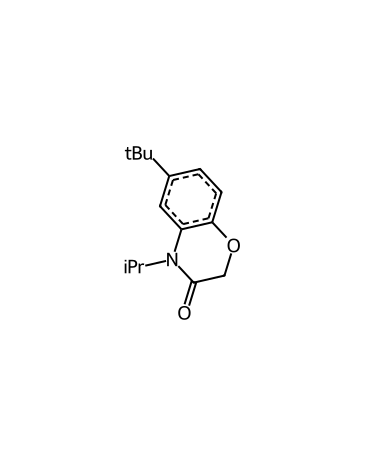 CC(C)N1C(=O)COc2ccc(C(C)(C)C)cc21